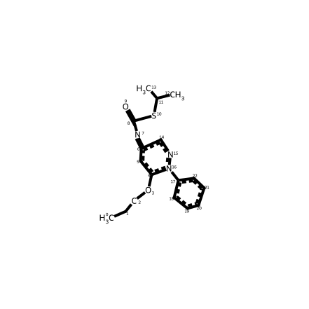 CCCOc1cc(=NC(=O)SC(C)C)cnn1-c1ccccc1